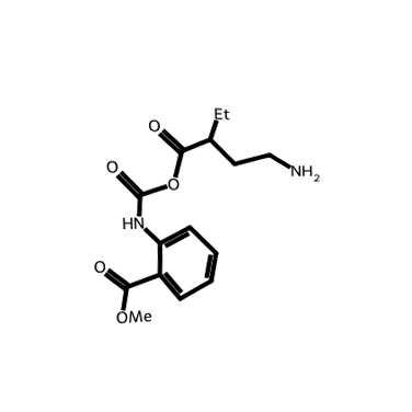 CCC(CCN)C(=O)OC(=O)Nc1ccccc1C(=O)OC